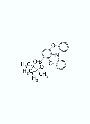 CC1(C)OB(c2ccc3c4c2Oc2ccccc2N4c2ccccc2O3)OC1(C)C